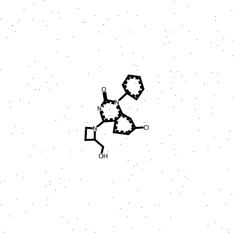 O=c1nc(N2CCC2CO)c2ccc(Cl)cc2n1-c1ccccc1